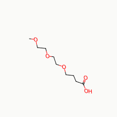 COCCOCCOCCCC(=O)O